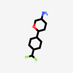 NC1CCC(C2CCC(C(F)F)CC2)OC1